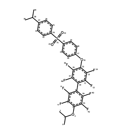 CC(C)Oc1c(F)c(F)c(-c2c(F)c(F)c(Oc3ccc(S(=O)(=O)c4ccc(C(C)C)cc4)cc3)c(F)c2F)c(F)c1F